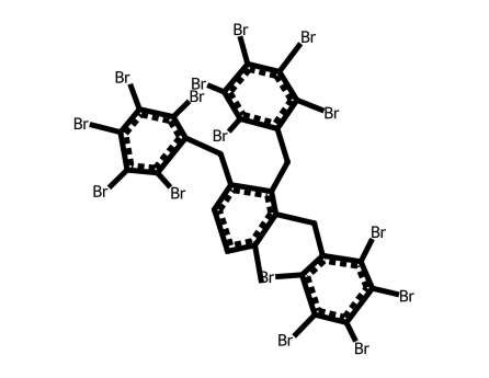 Cc1ccc(Cc2c(Br)c(Br)c(Br)c(Br)c2Br)c(Cc2c(Br)c(Br)c(Br)c(Br)c2Br)c1Cc1c(Br)c(Br)c(Br)c(Br)c1Br